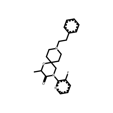 CC1OC2(CCN(CCc3ccccc3)CC2)CN(c2ncccc2F)C1=O